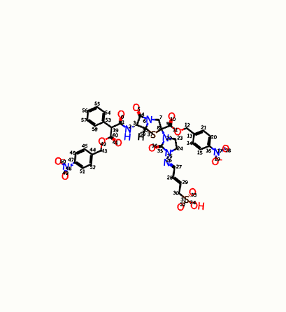 O=C(N[C@@H]1C(=O)N2C[C@@](C(=O)OCc3ccc([N+](=O)[O-])cc3)(N3CCN(/N=C/C=C/CS(=O)(=O)O)C3=O)S[C@H]12)C(C(=O)OCc1ccc([N+](=O)[O-])cc1)c1ccccc1